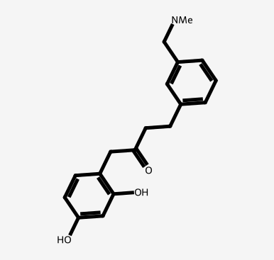 CNCc1cccc(CCC(=O)Cc2ccc(O)cc2O)c1